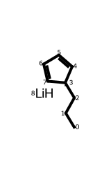 CCC[C]1C=CC=C1.[LiH]